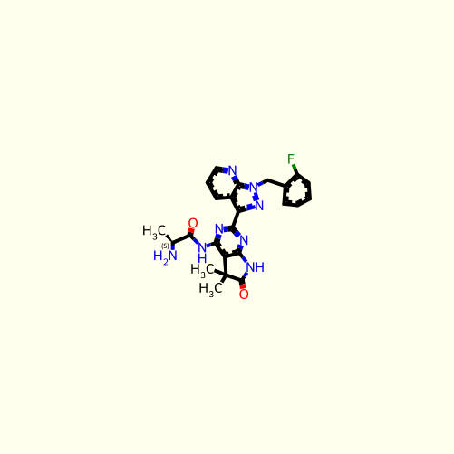 C[C@H](N)C(=O)Nc1nc(-c2nn(Cc3ccccc3F)c3ncccc23)nc2c1C(C)(C)C(=O)N2